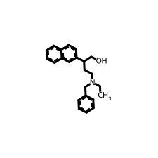 CCN(CCC(CO)c1ccc2ccccc2c1)Cc1ccccc1